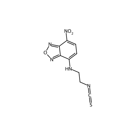 O=[N+]([O-])c1ccc(NCCN=C=S)c2nonc12